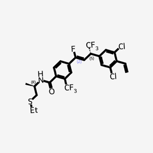 C=Cc1c(Cl)cc([C@H](/C=C(\F)c2ccc(C(=O)N[C@H](C)CSCC)c(C(F)(F)F)c2)C(F)(F)F)cc1Cl